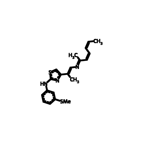 C\C=C/C=C\C(C)=N\C=C(/C)c1csc(Nc2cccc(SC)c2)n1